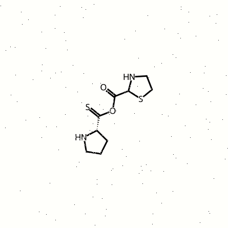 O=C(OC(=S)[C@@H]1CCCN1)C1NCCS1